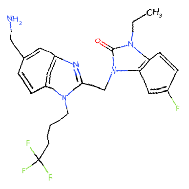 CCn1c(=O)n(Cc2nc3cc(CN)ccc3n2CCCC(F)(F)F)c2cc(F)ccc21